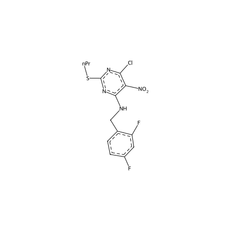 CCCSc1nc(Cl)c([N+](=O)[O-])c(NCc2ccc(F)cc2F)n1